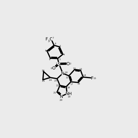 O=S(=O)(c1ccc(C(F)(F)F)cc1)N1c2ccc(F)cc2-c2[nH]ncc2C1C1CC1